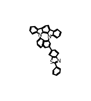 c1ccc(-c2nc3ccc(-c4cccc(-n5c6ccccc6c6ccc7c8ccccc8n(-c8ccccc8)c7c65)c4)cc3s2)cc1